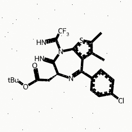 Cc1sc2c(c1C)C(c1ccc(Cl)cc1)=N[C@@H](CC(=O)OC(C)(C)C)C(=N)N2C(=N)C(F)(F)F